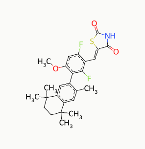 COc1cc(F)c(/C=C2\SC(=O)NC2=O)c(F)c1-c1cc2c(cc1C)C(C)(C)CCC2(C)C